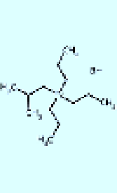 CCC[P+](CCC)(CCC)CC(C)C.[Br-]